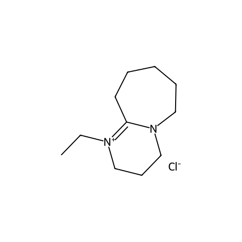 CC[N+]1=C2CCCCCN2CCC1.[Cl-]